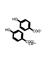 O=C([O-])c1ccc(O)cc1.O=C([O-])c1ccc(O)cc1.[Co+2]